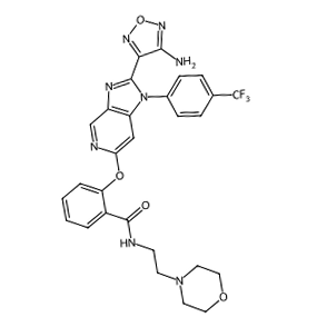 Nc1nonc1-c1nc2cnc(Oc3ccccc3C(=O)NCCN3CCOCC3)cc2n1-c1ccc(C(F)(F)F)cc1